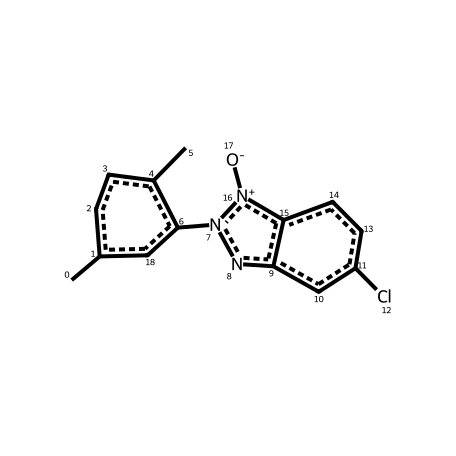 Cc1ccc(C)c(-n2nc3cc(Cl)ccc3[n+]2[O-])c1